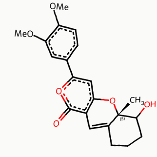 COc1ccc(-c2cc3c(c(=O)o2)C=C2CCCC(O)[C@@]2(C)O3)cc1OC